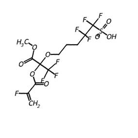 C=C(F)C(=O)OC(OCCCC(F)(F)C(F)(F)S(=O)(=O)O)(C(=O)OC)C(F)(F)F